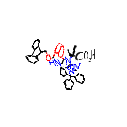 CC(C)(NC(=O)[C@H](Cc1cncn1C(c1ccccc1)(c1ccccc1)c1ccccc1)NC(=O)OCC1c2ccccc2-c2ccccc21)C(=O)O